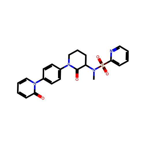 CN(C1CCCN(c2ccc(-n3ccccc3=O)cc2)C1=O)S(=O)(=O)c1ccccn1